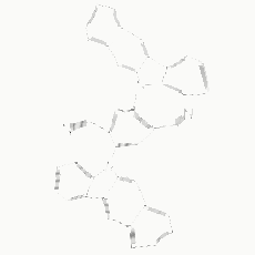 N#Cc1cc(-n2c3ccccc3c3cc4ccccc4cc32)c(C#N)cc1-n1c2ccccc2c2cc3ccccc3cc21